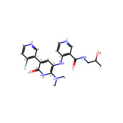 CC(O)CNC(=O)c1cnccc1Nc1cc(-c2cnccc2F)c(=O)[nH]c1N(C)C